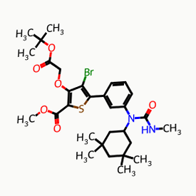 CNC(=O)N(c1cccc(-c2sc(C(=O)OC)c(OCC(=O)OC(C)(C)C)c2Br)c1)C1CC(C)(C)CC(C)(C)C1